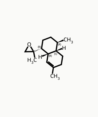 CC1=C[C@H]2[C@@H](CC1)[C@H](C)CC[C@H]2C1(C)CO1